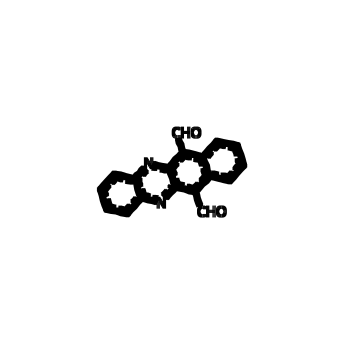 O=Cc1c2ccccc2c(C=O)c2nc3ccccc3nc12